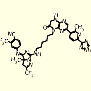 Cc1nc(-c2nc[nH]n2)ccc1-c1cnc2c(n1)N(CCCCCCNC1=N/C(=N\c3ccc(C#N)c(C(F)(F)F)c3)C3(C)CC(C(F)(F)F)=NN13)C(=O)CN2